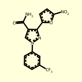 NC(=O)c1cn(-c2cccc(C(F)(F)F)c2)nc1-c1ccc([N+](=O)[O-])o1